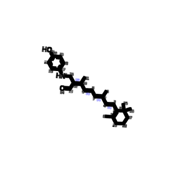 CC1=C(/C=C/C(C)=C/C=C/C(C)=C(\C=O)CNc2ccc(O)cc2)C(C)(C)CCC1